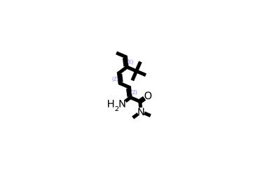 C\C=C(/C=C\C=C(/N)C(=O)N(C)C)C(C)(C)C